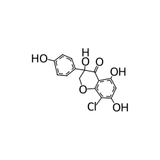 O=C1c2c(O)cc(O)c(Cl)c2OCC1(O)c1ccc(O)cc1